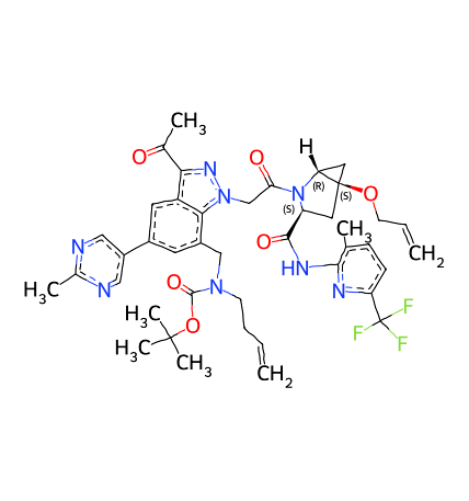 C=CCCN(Cc1cc(-c2cnc(C)nc2)cc2c(C(C)=O)nn(CC(=O)N3[C@H](C(=O)Nc4nc(C(F)(F)F)ccc4C)C[C@@]4(OCC=C)C[C@@H]34)c12)C(=O)OC(C)(C)C